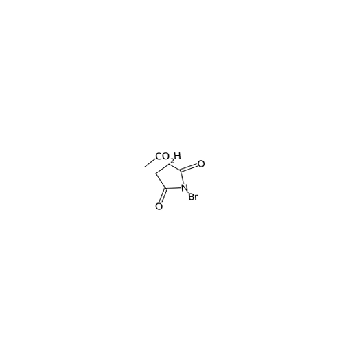 CC(=O)O.O=C1CCC(=O)N1Br